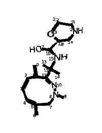 C=C1/C=C\C=C(\C)CN(C)/N=C\1C(C)(C)NC(O)[C@@H]1CNCCO1